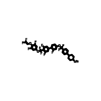 CCCC1CCC(c2ccc(C(F)(F)Oc3ccc(-c4cc(F)c(C(F)(F)Oc5cc(F)c(OC=C(F)F)c(F)c5)c(F)c4)c(F)c3)cc2)CC1